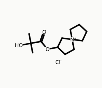 CC(C)(O)C(=O)OC1CC[N+]2(CCCC2)C1.[Cl-]